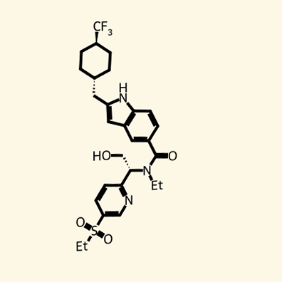 CCN(C(=O)c1ccc2[nH]c(C[C@H]3CC[C@H](C(F)(F)F)CC3)cc2c1)[C@@H](CO)c1ccc(S(=O)(=O)CC)cn1